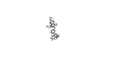 COCc1ccc(C(=O)NCc2cccc(Oc3ccccc3C(F)(F)F)c2)c(N)n1